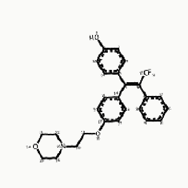 Oc1ccc(/C(=C(/c2ccccc2)C(F)(F)F)c2ccc(OCCN3CCOCC3)cc2)cc1